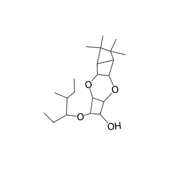 CCC(C)C(CC)OC1C(O)C2OC3C(OC12)C1C3C(C)(C)C1(C)C